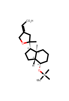 CC1([C@H]2CC[C@H]3[C@@H](O[Si](C)(C)C(C)(C)C)CCC[C@]23C)CC(=CC(=O)O)CO1